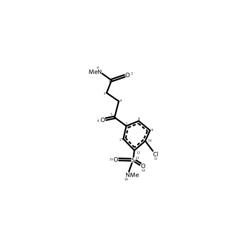 CNC(=O)CCC(=O)c1ccc(Cl)c(S(=O)(=O)NC)c1